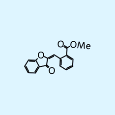 COC(=O)c1ccccc1C=C1Oc2ccccc2C1=O